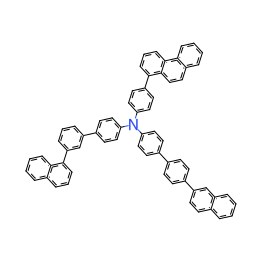 c1cc(-c2ccc(N(c3ccc(-c4ccc(-c5ccc6ccccc6c5)cc4)cc3)c3ccc(-c4cccc5c4ccc4ccccc45)cc3)cc2)cc(-c2cccc3ccccc23)c1